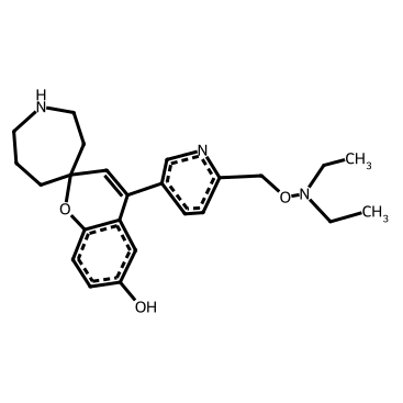 CCN(CC)OCc1ccc(C2=CC3(CCCNCC3)Oc3ccc(O)cc32)cn1